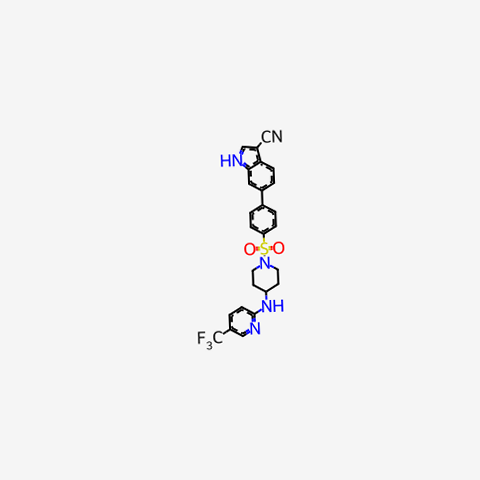 N#Cc1c[nH]c2cc(-c3ccc(S(=O)(=O)N4CCC(Nc5ccc(C(F)(F)F)cn5)CC4)cc3)ccc12